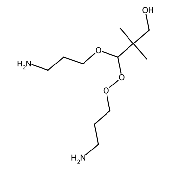 CC(C)(CO)C(OCCCN)OOCCCN